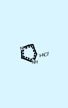 Cl.[c]1cnc[nH]1